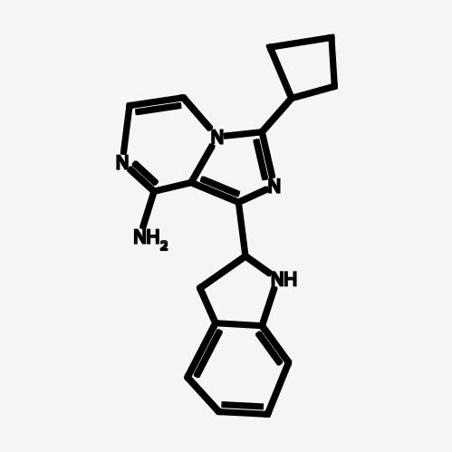 Nc1nccn2c(C3CCC3)nc(C3Cc4ccccc4N3)c12